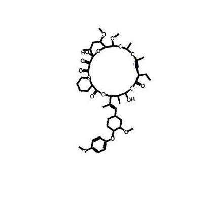 CCC1/C=C(\C)CC(C)CC(OC)C2OC(O)(C(=O)C(=O)N3CCCCC3C(=O)OC(C(C)=CC3CCC(Oc4ccc(SC)cc4)C(OC)C3)C(C)C(O)CC1=O)C(C)CC2OC